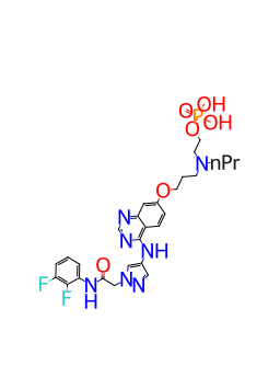 CCCN(CCCOc1ccc2c(Nc3cnn(CC(=O)Nc4cccc(F)c4F)c3)ncnc2c1)CCOP(=O)(O)O